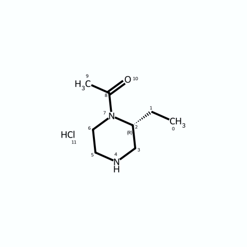 CC[C@@H]1CNCCN1C(C)=O.Cl